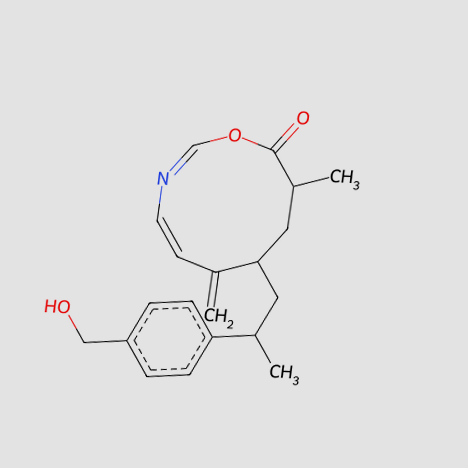 C=C1/C=C\N=C/OC(=O)C(C)CC1CC(C)c1ccc(CO)cc1